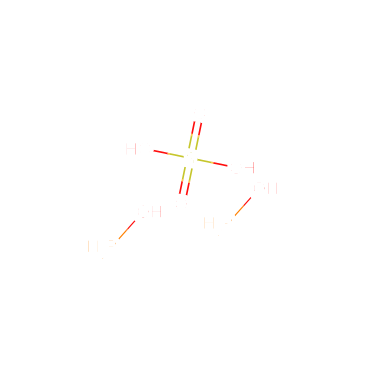 O=S(=O)(O)O.OP.OP